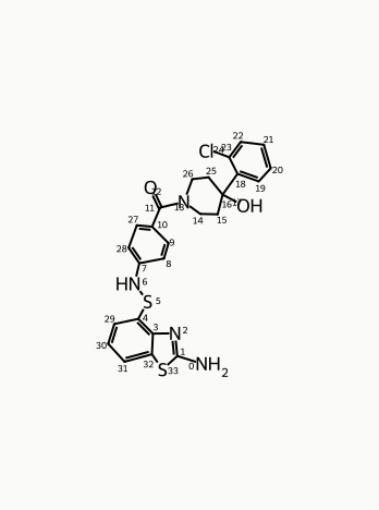 Nc1nc2c(SNc3ccc(C(=O)N4CCC(O)(c5ccccc5Cl)CC4)cc3)cccc2s1